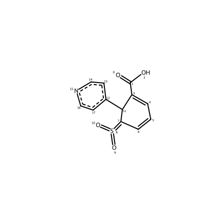 O=C(O)C1=CC=CC(=S(=O)=O)C1c1ccncc1